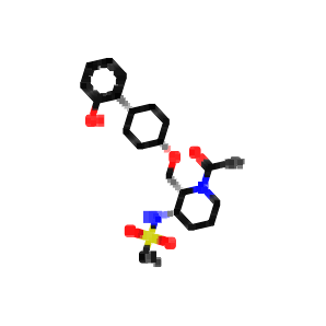 CCCC(=O)N1CCC[C@H](NS(C)(=O)=O)[C@@H]1CO[C@H]1CC[C@@H](c2ccccc2O)CC1